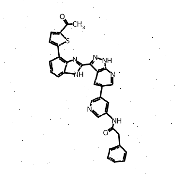 CC(=O)c1ccc(-c2cccc3[nH]c(-c4n[nH]c5ncc(-c6cncc(NC(=O)Cc7ccccc7)c6)cc45)nc23)s1